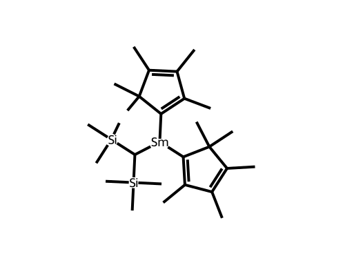 CC1=C(C)C(C)(C)[C]([Sm]([C]2=C(C)C(C)=C(C)C2(C)C)[CH]([Si](C)(C)C)[Si](C)(C)C)=C1C